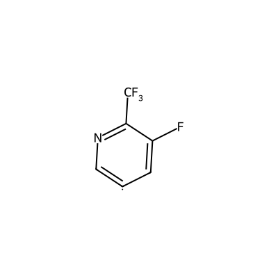 Fc1c[c]cnc1C(F)(F)F